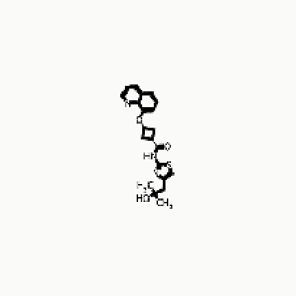 CC(C)(O)Cc1csc(NC(=O)[C@H]2C[C@H](Oc3cccc4cccnc34)C2)n1